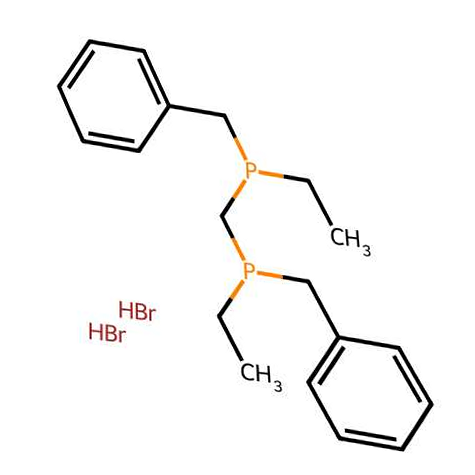 Br.Br.CCP(Cc1ccccc1)CP(CC)Cc1ccccc1